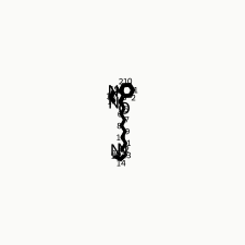 c1ccc2c(OCCCCCCn3cccn3)ncnc2c1